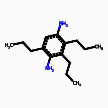 CCCc1cc(N)c(CCC)c(CCC)c1N